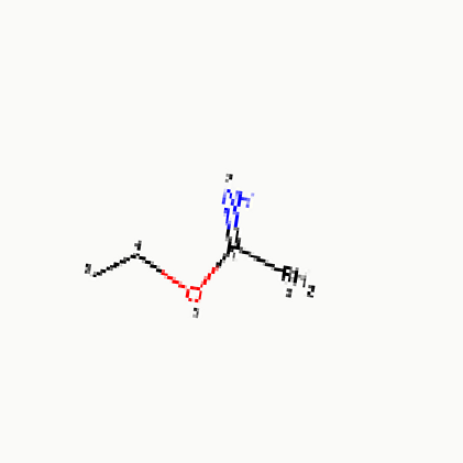 BC(=N)OCC